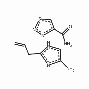 C=CCc1nc(N)c[nH]1.NC(=O)c1csnn1